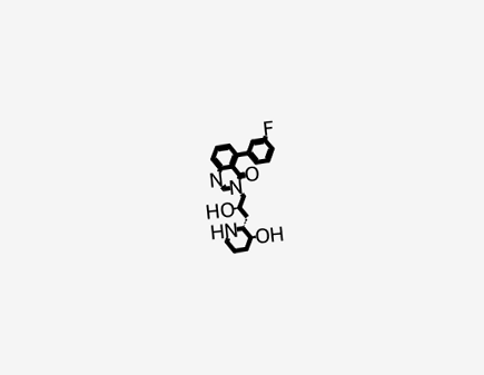 O=c1c2c(-c3cccc(F)c3)cccc2ncn1C[C@@H](O)C[C@H]1NCCC[C@@H]1O